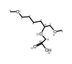 COCCCCC(COC)OCC(=O)O